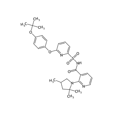 CC1CN(c2ncccc2C(=O)NS(=O)(=O)c2cccc(Oc3ccc(OC(C)(C)C)cc3)n2)C(C)(C)C1